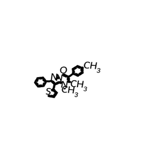 Cc1ccc(-c2c(C)n(C)c3c(-c4cccs4)c(-c4ccccc4)nn3c2=O)cc1